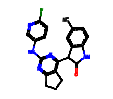 N#Cc1ccc2c(c1)C(c1nc(Nc3ccc(F)nc3)nc3c1CCC3)C(=O)N2